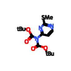 CSc1nccc(N(C(=O)OC(C)(C)C)C(=O)OC(C)(C)C)n1